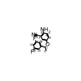 CC(Oc1ccc(N)c(C#N)c1)c1cc(F)cc(F)c1